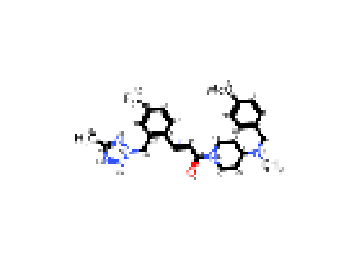 COc1ccc(CN(C)C2CCN(C(=O)/C=C/c3ccc(C(F)(F)F)cc3Cn3nnc(C)n3)CC2)cc1